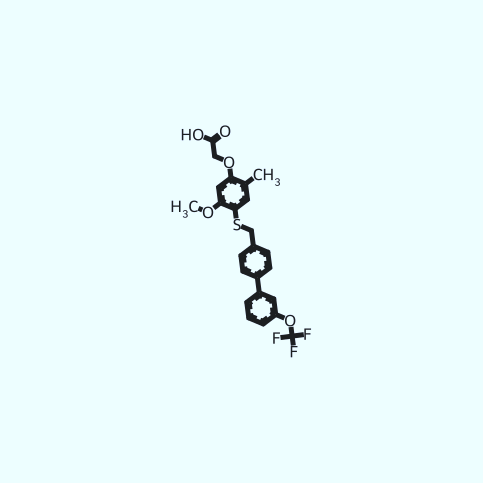 COc1cc(OCC(=O)O)c(C)cc1SCc1ccc(-c2cccc(OC(F)(F)F)c2)cc1